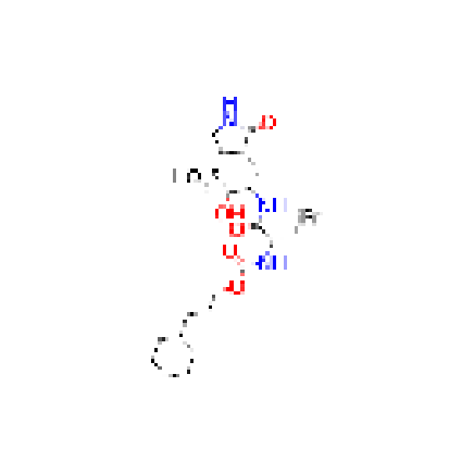 CC(C)C[C@H](NC(=O)OCCCC1CCCCC1)C(=O)N[C@@H](C[C@@H]1CCNC1=O)C(O)S(=O)(=O)O